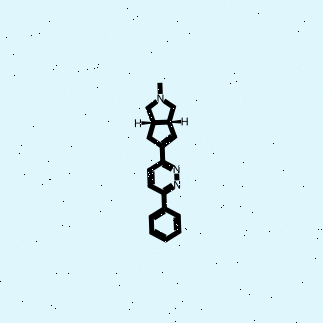 CN1C[C@H]2CC(c3ccc(-c4ccccc4)nn3)=C[C@H]2C1